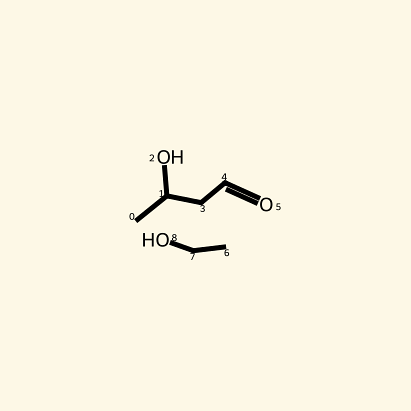 CC(O)CC=O.CCO